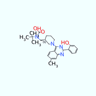 Cc1ccc2c(N3CCC[C@H](CN(C(=O)O)C(C)(C)C)C3)nc(-c3ccccc3O)nc2c1